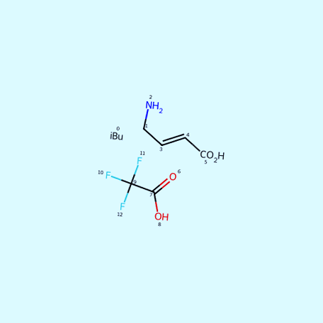 CC[C@H](C)C(N)C=CC(=O)O.O=C(O)C(F)(F)F